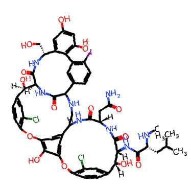 CN[C@H](CC(C)C)C(=O)N[C@H]1C(=O)N[C@@H](CC(N)=O)C(=O)N[C@H]2CNC3C(=O)N[C@H](C(=O)N[C@H](CO)c4cc(O)cc(O)c4-c4cc3ccc4I)[C@H](O)c3ccc(c(Cl)c3)Oc3cc2cc(c3O)Oc2ccc(cc2Cl)[C@H]1O